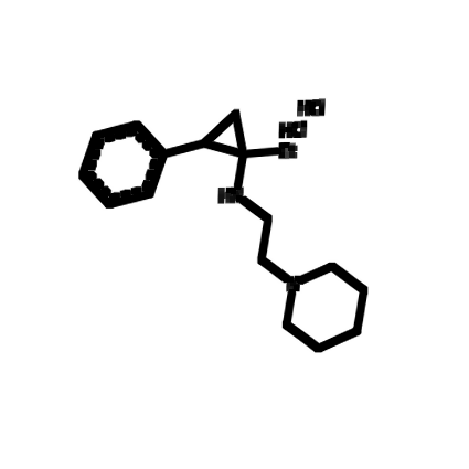 CCC1(NCCN2CCCCC2)CC1c1ccccc1.Cl.Cl